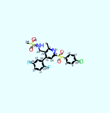 Cc1nc(S(=O)(=O)c2ccc(Cl)cc2)cc(-c2cc(F)ccc2F)c1CNS(C)(=O)=O